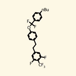 CCCCc1ccc(C(F)(F)Oc2ccc(CCc3cc(F)c(C(F)(F)F)c(F)c3)cc2)cc1